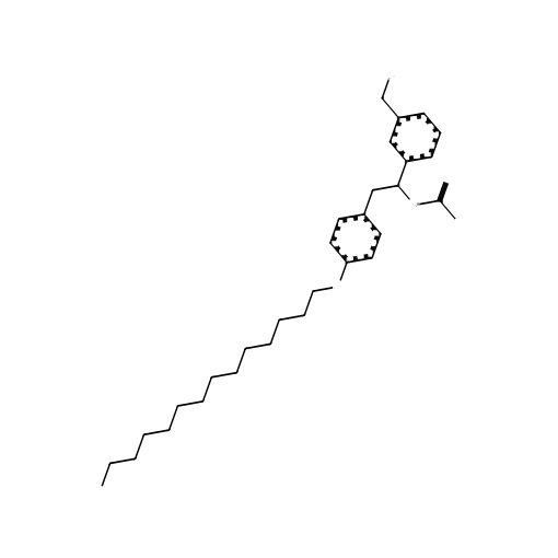 CCCCCCCCCCCCCCOc1ccc(CC(NC(C)=O)c2cccc(CBr)c2)cc1